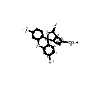 Cc1ccc2c(c1)Oc1cc(O)ccc1C21OC(=O)c2cc(C(=O)O)ccc21